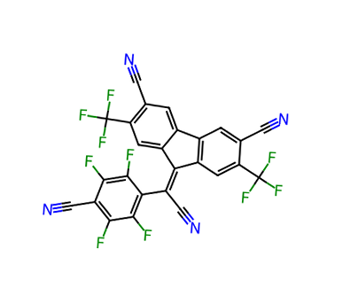 N#CC(=C1c2cc(C(F)(F)F)c(C#N)cc2-c2cc(C#N)c(C(F)(F)F)cc21)c1c(F)c(F)c(C#N)c(F)c1F